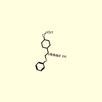 CCCCCCCCOC1CCC(CCSc2ccccc2)CC1.F.F.F.F.F